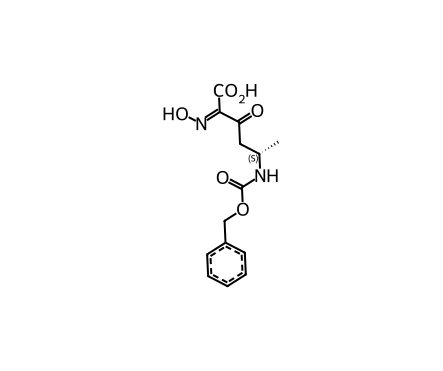 C[C@@H](CC(=O)C(=NO)C(=O)O)NC(=O)OCc1ccccc1